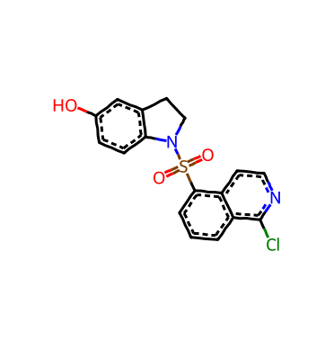 O=S(=O)(c1cccc2c(Cl)nccc12)N1CCc2cc(O)ccc21